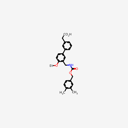 CCOc1ccc(-c2cccc(CC(=O)O)c2)cc1CNC(=O)OCc1ccc(C)c(C)c1